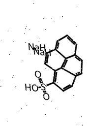 O=S(=O)(O)c1ccc2ccc3cccc4ccc1c2c34.[NaH].[NaH]